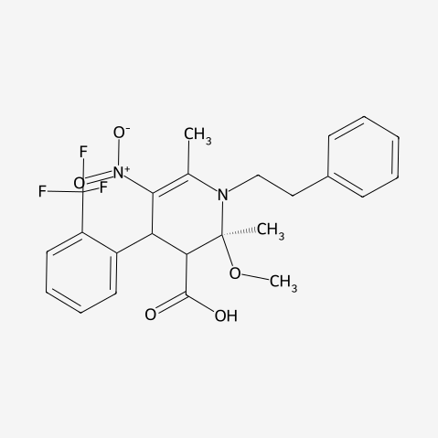 CO[C@@]1(C)C(C(=O)O)C(c2ccccc2C(F)(F)F)C([N+](=O)[O-])=C(C)N1CCc1ccccc1